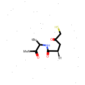 CC[C@H](CC(=O)CS)C(=O)NC(C(=O)NC)C(C)(C)C